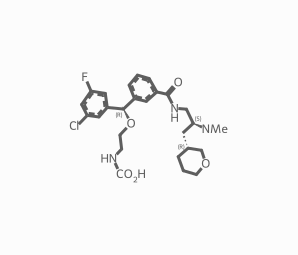 CN[C@H](CNC(=O)c1cccc([C@@H](OCCNC(=O)O)c2cc(F)cc(Cl)c2)c1)C[C@H]1CCCOC1